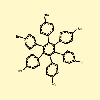 CC(C)(C)c1ccc(-c2c(-c3ccc(Br)cc3)c(-c3ccc(C(C)(C)C)cc3)c(-c3ccc(C(C)(C)C)cc3)c(-c3ccc(Br)cc3)c2-c2ccc(C(C)(C)C)cc2)cc1